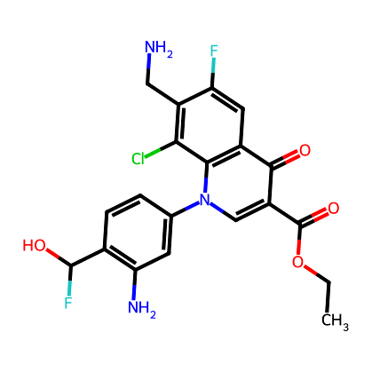 CCOC(=O)c1cn(-c2ccc(C(O)F)c(N)c2)c2c(Cl)c(CN)c(F)cc2c1=O